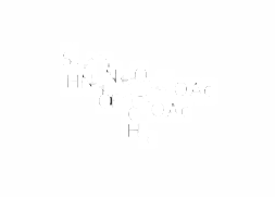 CC(=O)OC[C@H]1O[C@@H](n2ccc(=S)[nH]c2=O)C(C)(F)[C@H]1OC(C)=O